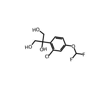 OCC(O)(CO)c1ccc(OC(F)F)cc1Cl